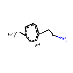 NCCc1ccc(S(=O)(=O)O)cc1.[KH]